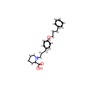 O=C(O)C1CCCCN1CCCc1ccc(OCCCc2ccccc2)cc1